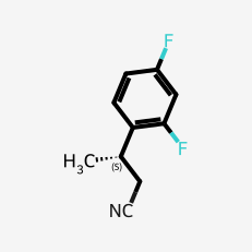 C[C@@H](CC#N)c1ccc(F)cc1F